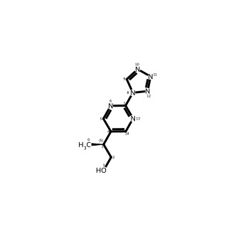 C[C@H](CO)c1cnc(-n2cnnn2)nc1